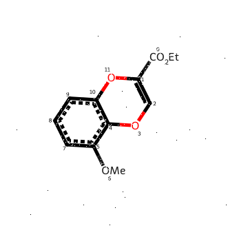 CCOC(=O)C1=COc2c(OC)cccc2O1